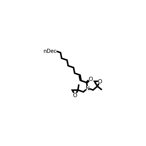 CCCCCCCCCCCCCCCCC=CC(=O)N(CC1(C)CO1)CC1(C)CO1